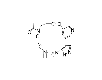 CC(=O)N1CCCNc2ccn3ncc(c3n2)-c2cncc(c2)OCCC1